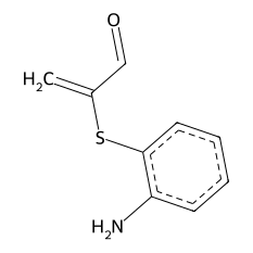 C=C(C=O)Sc1ccccc1N